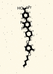 C=CCCCOc1ccc(OCC2CCC(c3ccc(-c4ccc(C(O)CCC)cc4)c(F)c3F)CC2)cc1F